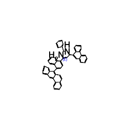 NC(NC(/C=C/c1ccc(-c2c3ccccc3cc3c2ccc2ccccc23)c2ccccc12)c1cc2ccccc2c2ccccc12)c1ccccc1